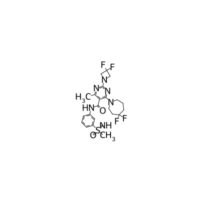 Cc1nc(N2CC(F)(F)C2)nc(N2CCCC(F)(F)CC2)c1C(=O)Nc1cccc(S(C)(=N)=O)c1